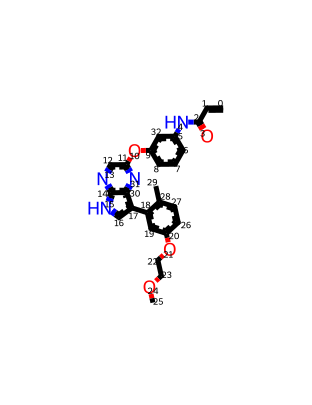 C=CC(=O)Nc1cccc(Oc2cnc3[nH]cc(-c4cc(OCCOC)ccc4C)c3n2)c1